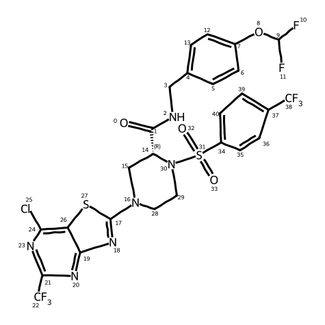 O=C(NCc1ccc(OC(F)F)cc1)[C@H]1CN(c2nc3nc(C(F)(F)F)nc(Cl)c3s2)CCN1S(=O)(=O)c1ccc(C(F)(F)F)cc1